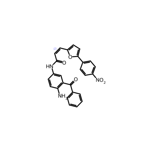 Nc1ccc(NC(=O)/C=C\c2ccc(-c3ccc([N+](=O)[O-])cc3)o2)cc1C(=O)c1ccccc1